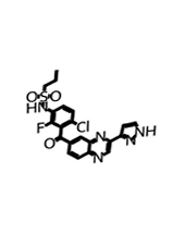 CCCS(=O)(=O)Nc1ccc(Cl)c(C(=O)c2ccc3ncc(-c4cc[nH]n4)nc3c2)c1F